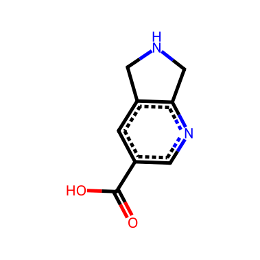 O=C(O)c1cnc2c(c1)CNC2